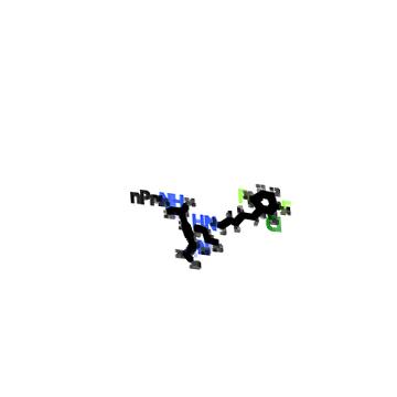 C=C(NCCCCCc1c(F)ccc(F)c1Cl)/C(C)=N\C(C#C/C(C)=C/NCCC)=C/C